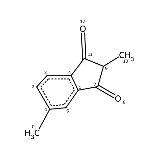 Cc1ccc2c(c1)C(=O)C(C)C2=O